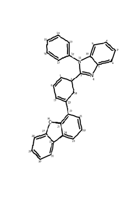 C1=CC(c2nc3ccccc3n2-c2ccccc2)CC(c2cccc3c2oc2ccccc23)=C1